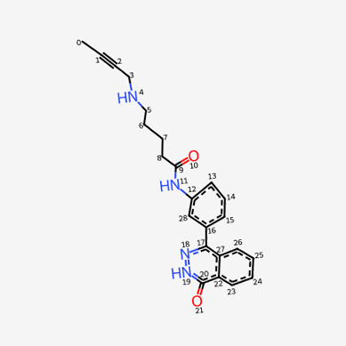 CC#CCNCCCCC(=O)Nc1cccc(-c2n[nH]c(=O)c3ccccc23)c1